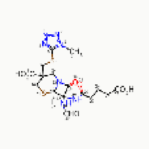 Cn1nnnc1SCC1(C(=O)O)CS[C@H]2N(C1)C(=O)C2(NC=O)NC(=O)CCCC(=O)O